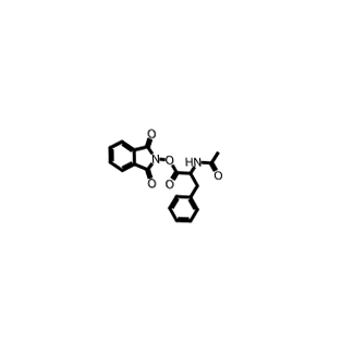 CC(=O)NC(Cc1ccccc1)C(=O)ON1C(=O)c2ccccc2C1=O